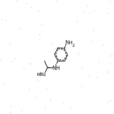 CCCCC(C)Nc1ccc(N)cc1